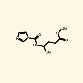 CC(C)(C)OC(=O)CCC(NC(=O)n1ccnc1)C(C)(C)C